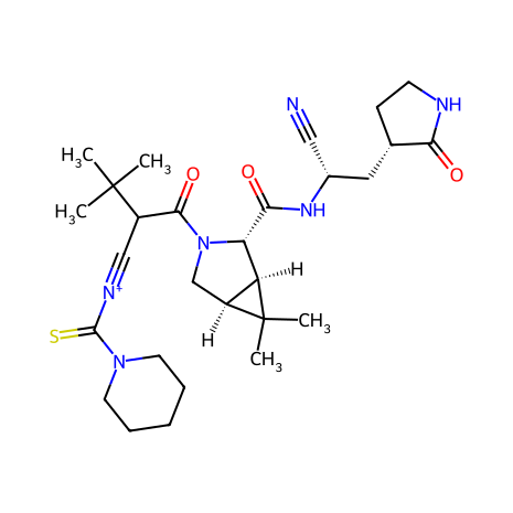 CC(C)(C)C(C#[N+]C(=S)N1CCCCC1)C(=O)N1C[C@H]2[C@@H]([C@H]1C(=O)N[C@H](C#N)C[C@@H]1CCNC1=O)C2(C)C